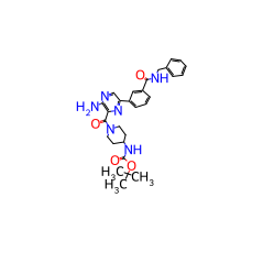 CC(C)(C)OC(=O)NC1CCN(C(=O)c2nc(-c3cccc(C(=O)NCc4ccccc4)c3)cnc2N)CC1